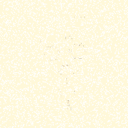 C=C1COC(c2nc(-c3ccc(F)cc3)c(-c3ccnc(NCCC(=O)O)n3)[nH]2)OC1